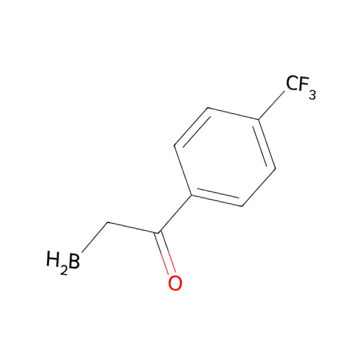 BCC(=O)c1ccc(C(F)(F)F)cc1